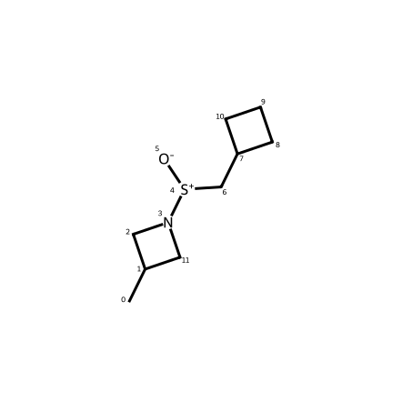 CC1CN([S+]([O-])CC2CCC2)C1